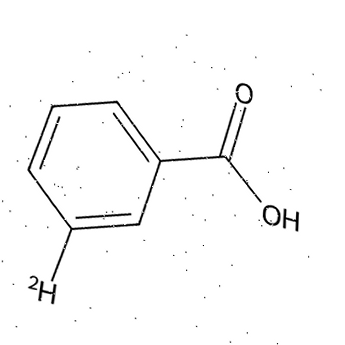 [2H]c1cccc(C(=O)O)c1